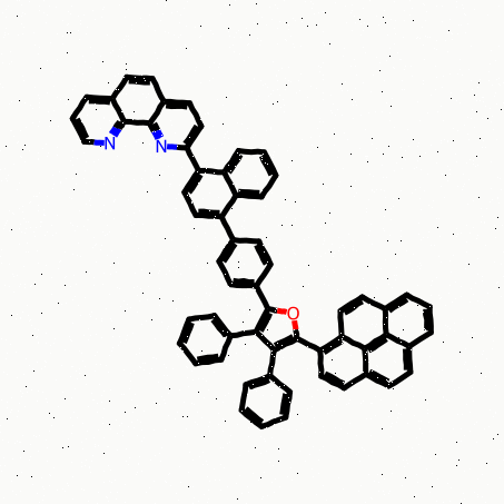 c1ccc(-c2c(-c3ccc(-c4ccc(-c5ccc6ccc7cccnc7c6n5)c5ccccc45)cc3)oc(-c3ccc4ccc5cccc6ccc3c4c56)c2-c2ccccc2)cc1